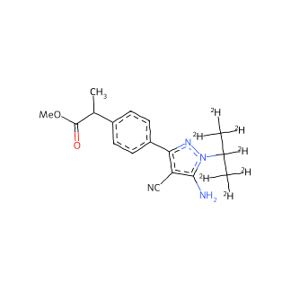 [2H]C([2H])([2H])C([2H])(n1nc(-c2ccc(C(C)C(=O)OC)cc2)c(C#N)c1N)C([2H])([2H])[2H]